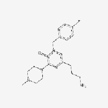 CN1CCN(c2nc(CCCN)cn(Cc3ccc(F)cc3)c2=O)CC1